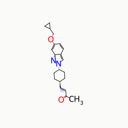 CC(=O)/C=C/[C@H]1CC[C@H](n2cc3ccc(OCC4CC4)cc3n2)CC1